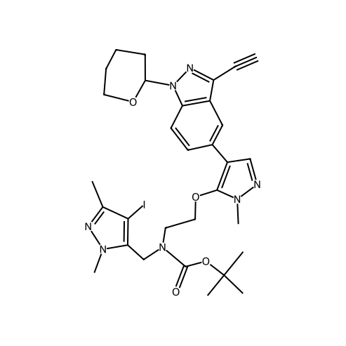 C#Cc1nn(C2CCCCO2)c2ccc(-c3cnn(C)c3OCCN(Cc3c(I)c(C)nn3C)C(=O)OC(C)(C)C)cc12